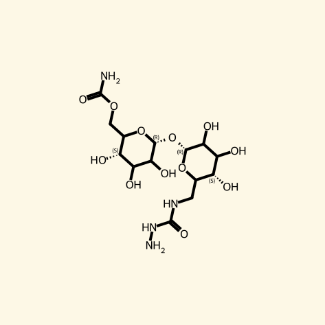 NNC(=O)NCC1O[C@H](O[C@H]2OC(COC(N)=O)[C@@H](O)C(O)C2O)C(O)C(O)[C@@H]1O